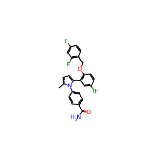 Cc1ccc(-c2cc(Br)ccc2OCc2ccc(F)cc2F)n1-c1ccc(C(N)=O)cc1